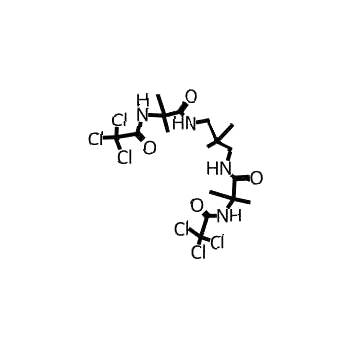 CC(C)(CNC(=O)C(C)(C)NC(=O)C(Cl)(Cl)Cl)CNC(=O)C(C)(C)NC(=O)C(Cl)(Cl)Cl